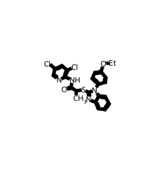 CCOc1ccc(-n2c(SC(C)C(=O)Nc3ncc(Cl)cc3Cl)nc3ccccc32)cc1